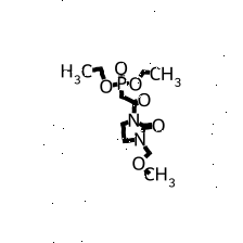 CCOP(=O)(CC(=O)N1CCN(COC)C1=O)OCC